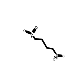 O=[SH](=O)[CH]CCC[SH](=O)=O